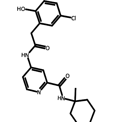 CC1(NC(=O)c2cc(NC(=O)Cc3cc(Cl)ccc3O)ccn2)CCCCC1